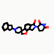 O=C1CC[C@H](N2Cc3c(ccc4c3OCC43CCN(C4Cc5ccccc5C4)CC3)C2=O)C(=O)N1